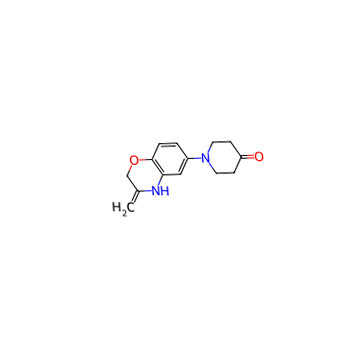 C=C1COc2ccc(N3CCC(=O)CC3)cc2N1